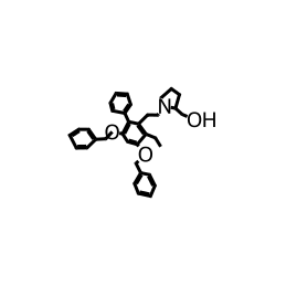 CCc1c(OCc2ccccc2)cc(OCc2ccccc2)c(-c2ccccc2)c1CCN1CCCC1CO